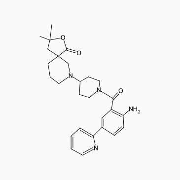 CC1(C)CC2(CCCN(C3CCN(C(=O)c4cc(-c5ccccn5)ccc4N)CC3)C2)C(=O)O1